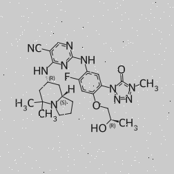 C[C@@H](O)COc1cc(F)c(Nc2ncc(C#N)c(N[C@@H]3C[C@@H]4CCCN4C(C)(C)C3)n2)cc1-n1nnn(C)c1=O